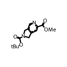 COC(=O)c1cc2c(cn1)CN(C(=O)OC(C)(C)C)C2